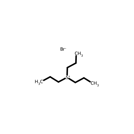 CCC[S+](CCC)CCC.[Br-]